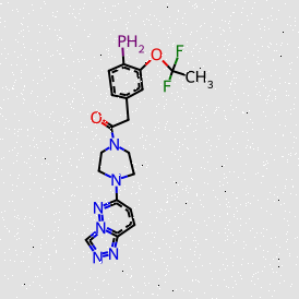 CC(F)(F)Oc1cc(CC(=O)N2CCN(c3ccc4nncn4n3)CC2)ccc1P